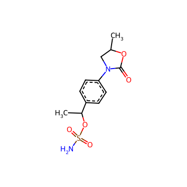 CC1CN(c2ccc(C(C)OS(N)(=O)=O)cc2)C(=O)O1